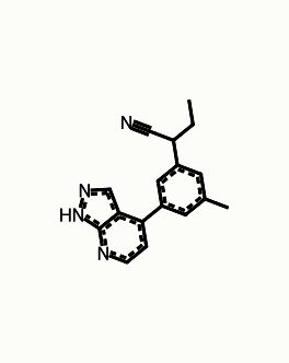 CCC(C#N)c1cc(C)cc(-c2ccnc3[nH]ncc23)c1